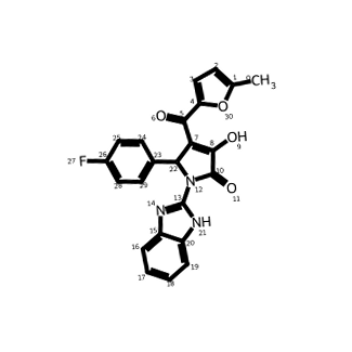 Cc1ccc(C(=O)C2=C(O)C(=O)N(c3nc4ccccc4[nH]3)C2c2ccc(F)cc2)o1